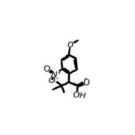 COc1ccc(C(C(=O)O)C(C)(C)C)c([N+](=O)[O-])c1